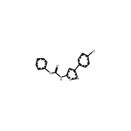 O=C(Nc1cc(-c2ccc(Cl)cc2)ns1)Oc1ccccc1